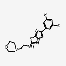 Fc1cc(F)cc(-c2cn3nc(NCCN4CCOCC4)sc3n2)c1